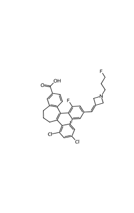 O=C(O)c1ccc2c(c1)CCCC(c1ccc(Cl)cc1Cl)=C2c1c(F)cc(C=C2CN(CCCF)C2)cc1F